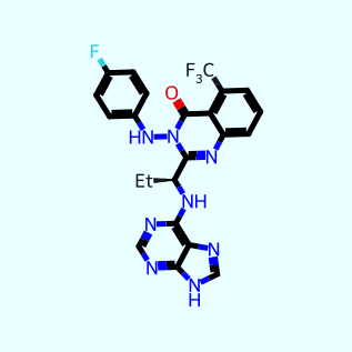 CC[C@H](Nc1ncnc2[nH]cnc12)c1nc2cccc(C(F)(F)F)c2c(=O)n1Nc1ccc(F)cc1